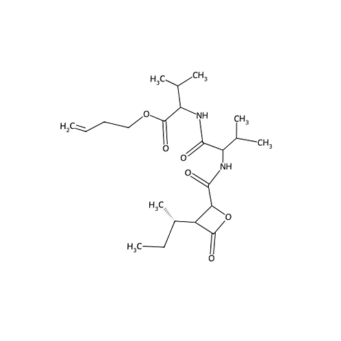 C=CCCOC(=O)C(NC(=O)C(NC(=O)C1OC(=O)C1[C@@H](C)CC)C(C)C)C(C)C